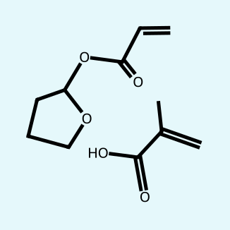 C=C(C)C(=O)O.C=CC(=O)OC1CCCO1